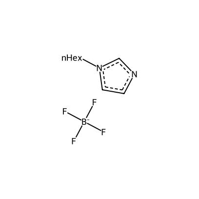 CCCCCCn1ccnc1.F[B-](F)(F)F